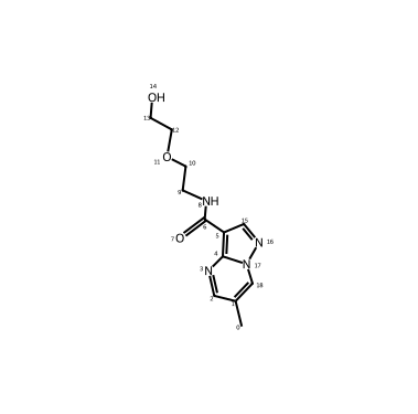 Cc1cnc2c(C(=O)NCCOCCO)cnn2c1